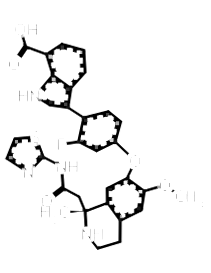 COc1cc2c(cc1Oc1ccc(-c3c[nH]c4c(C(=O)O)cccc34)c(F)c1)[C@@](C)(CC(=O)Nc1nccs1)NCC2